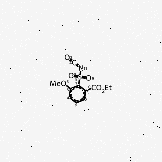 CCOC(=O)c1cccc(OC)c1S(=O)(=O)N=C=O